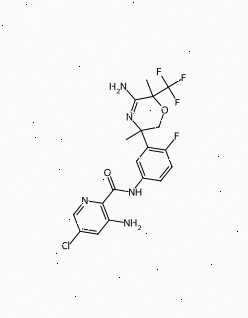 CC1(c2cc(NC(=O)c3ncc(Cl)cc3N)ccc2F)COC(C)(C(F)(F)F)C(N)=N1